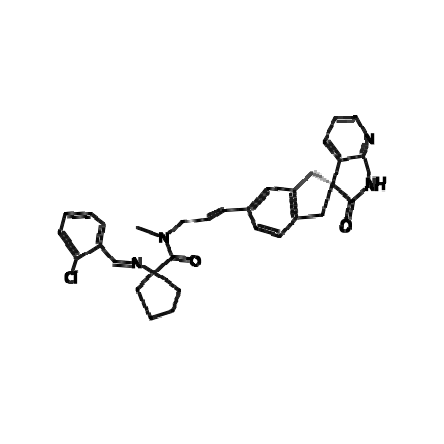 CN(C/C=C/c1ccc2c(c1)C[C@@]1(C2)C(=O)Nc2ncccc21)C(=O)C1(/N=C/c2ccccc2Cl)CCCC1